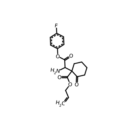 C=CCOC(=O)C1(C(N)C(=O)Oc2ccc(F)cc2)CCCCC1=O